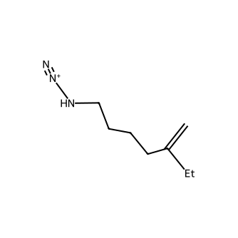 C=C(CC)CCCCN[N+]#N